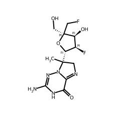 CC1([C@@H]2O[C@@](CO)(CF)[C@@H](O)[C@H]2F)CN=C2C(=O)NC(N)=NN21